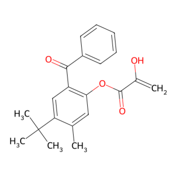 C=C(O)C(=O)Oc1cc(C)c(C(C)(C)C)cc1C(=O)c1ccccc1